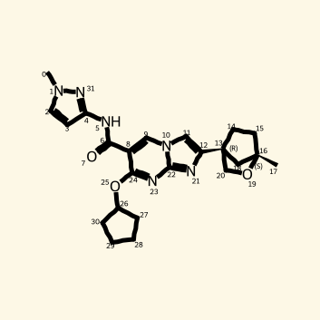 Cn1ccc(NC(=O)c2cn3cc([C@@]45CC[C@@](C)(C4)OC5)nc3nc2OC2CCCC2)n1